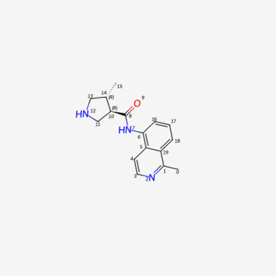 Cc1nccc2c(NC(=O)[C@H]3CNC[C@@H]3C)cccc12